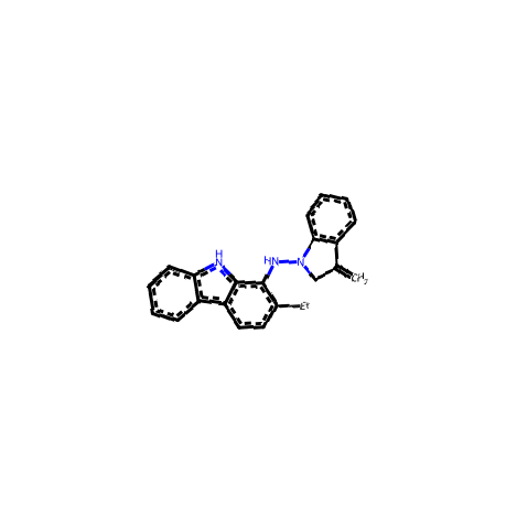 C=C1CN(Nc2c(CC)ccc3c2[nH]c2ccccc23)c2ccccc21